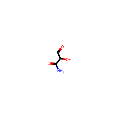 NC(=O)C(O)[C]=O